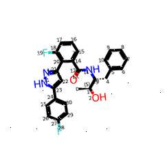 C[C@H](O)[C@@H](Cc1ccccc1)NC(=O)c1cccc(F)c1-c1cc(-c2ccc(F)cc2)[nH]n1